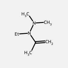 C=C(C)N(CC)N(C)C